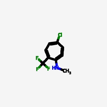 CNC1=C=CC(Cl)=CC=C1C(F)(F)F